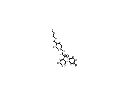 CCCCCC1CCC(CCC(Oc2ccc(F)cc2)c2ccccc2)CC1